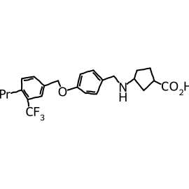 CC(C)c1ccc(COc2ccc(CNC3CCC(C(=O)O)C3)cc2)cc1C(F)(F)F